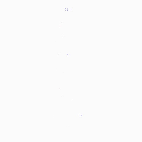 Cc1nc2cc(OCC(=O)CN3CCB(OCN)CC3)ccc2s1